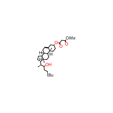 COC(=O)CC(=O)O[C@H]1CC[C@@]2(C)C(=CC[C@H]3[C@@H]4CC[C@H]([C@H](C)C(O)CCC(C)(C)C)[C@@]4(C)CC[C@@H]32)C1